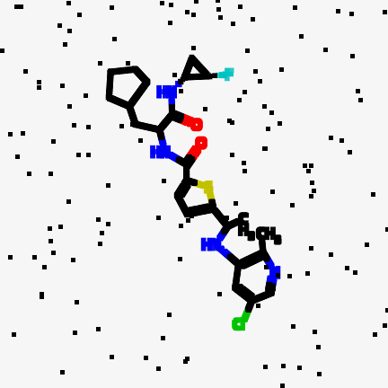 Cc1ncc(Cl)cc1NC(C)c1ccc(C(=O)NC(CC2CCCC2)C(=O)N[C@@H]2C[C@@H]2F)s1